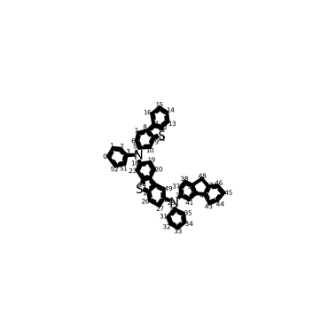 c1ccc(N(c2ccc3c(c2)sc2ccccc23)c2ccc3c(c2)sc2ccc(N(c4ccccc4)c4ccc5c(c4)-c4ccccc4C5)cc23)cc1